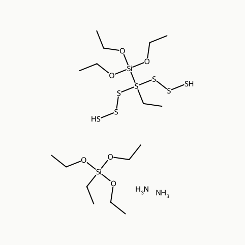 CCO[Si](CC)(OCC)OCC.CCO[Si](OCC)(OCC)S(CC)(SSS)SSS.N.N